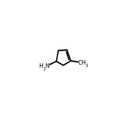 CC1=CCC(N)C1